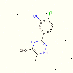 CC1=C(C=O)NC(c2ccc(Cl)c(N)c2)=NN1